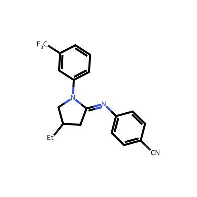 CCC1CC(=Nc2ccc(C#N)cc2)N(c2cccc(C(F)(F)F)c2)C1